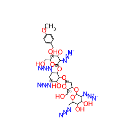 COc1ccc(CO[C@@H]2C(CO)O[C@H](OC3C(N=[N+]=[N-])C[C@@H](N=[N+]=[N-])C(O)C3O[C@H]3CC(OC4OC(CN=[N+]=[N-])C(O)C(O)C4N=[N+]=[N-])[C@@H](CO)O3)C(N=[N+]=[N-])C2O)cc1